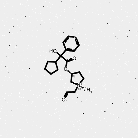 C[N@+]1(CC=O)CC[C@H](OC(=O)C(O)(c2ccccc2)C2CCCC2)C1